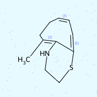 C/C1=C2/NCCS/C2=C/C=C\CC1